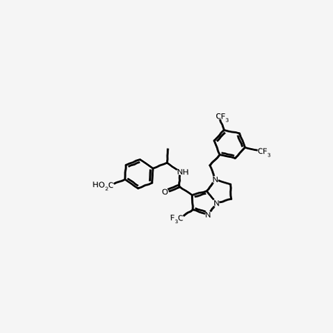 CC(NC(=O)c1c(C(F)(F)F)nn2c1N(Cc1cc(C(F)(F)F)cc(C(F)(F)F)c1)CC2)c1ccc(C(=O)O)cc1